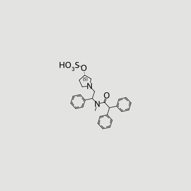 CN(C(=O)C(c1ccccc1)c1ccccc1)C(CN1CC[C@H](OS(=O)(=O)O)C1)c1ccccc1